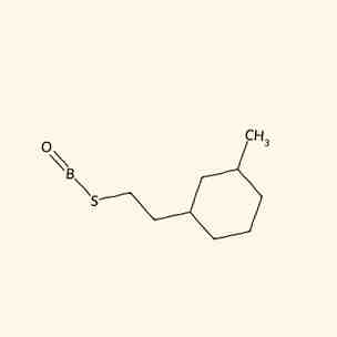 CC1CCCC(CCSB=O)C1